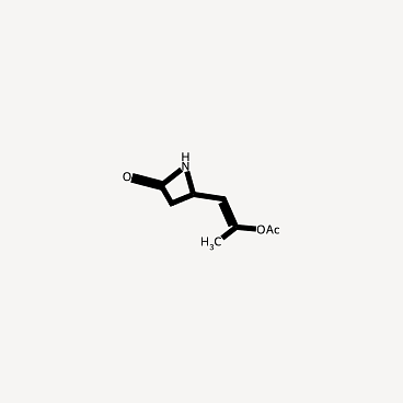 CC(=O)OC(C)=CC1CC(=O)N1